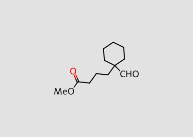 COC(=O)CCCC1(C=O)CCCCC1